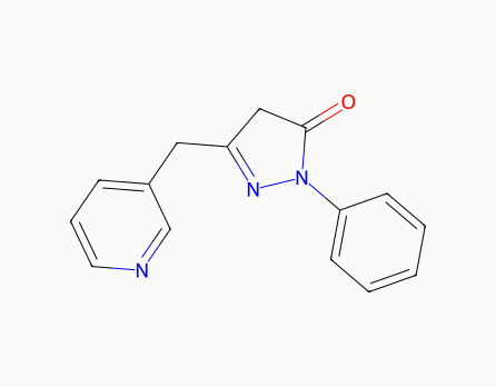 O=C1CC(Cc2cccnc2)=NN1c1ccccc1